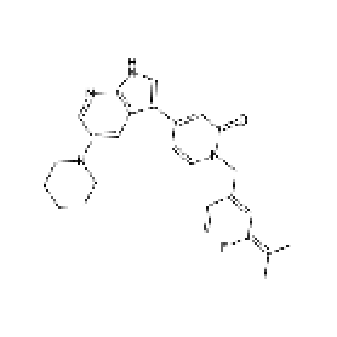 C=C/C(=C\C(F)=C(C)C)Cn1ccc(-c2c[nH]c3ncc(N4CCCCC4)cc23)cc1=O